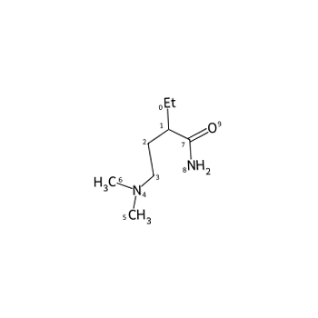 CCC(CCN(C)C)C(N)=O